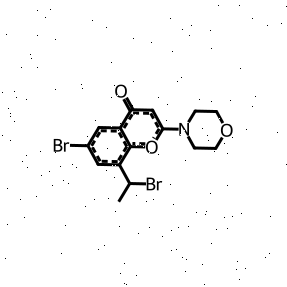 CC(Br)c1cc(Br)cc2c(=O)cc(N3CCOCC3)oc12